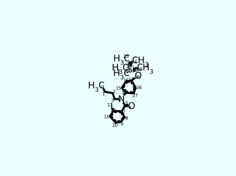 CCCCN(C(=O)c1ccccc1I)c1ccc(O[Si](C)(C)C(C)(C)C)cc1